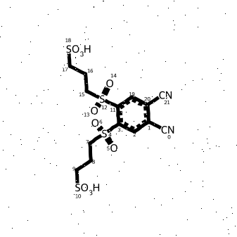 N#Cc1cc(S(=O)(=O)CCCS(=O)(=O)O)c(S(=O)(=O)CCCS(=O)(=O)O)cc1C#N